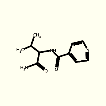 CC(C)C(NC(=O)c1ccncc1)C(N)=O